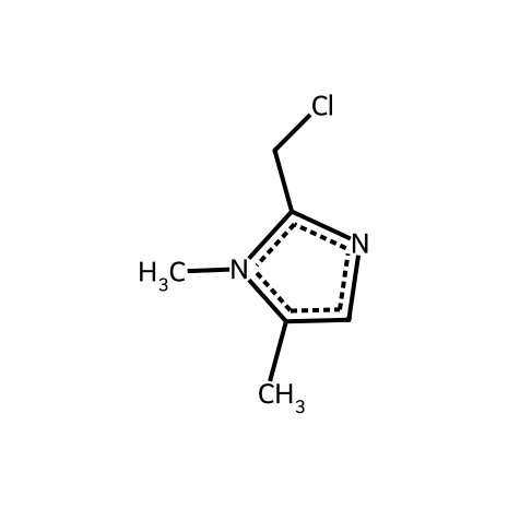 Cc1cnc(CCl)n1C